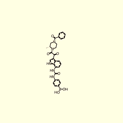 C[C@@H]1CN(C(=O)c2ccccc2)CCN1C(=O)C(=O)c1c[nH]c2c(NC(=O)Nc3ccc(B(O)O)cc3)cccc12